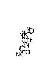 [C-]#[N+]c1ccc2c(nc(CC)n2Cc2nnc(-c3ccccn3)o2)c1Cl